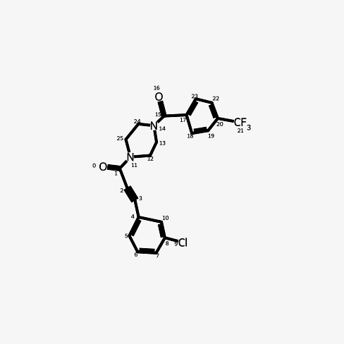 O=C(C#Cc1cccc(Cl)c1)N1CCN(C(=O)c2ccc(C(F)(F)F)cc2)CC1